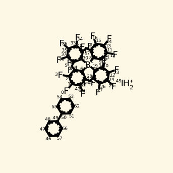 Fc1c(F)c(F)c([B-](c2c(F)c(F)c(F)c(F)c2F)(c2c(F)c(F)c(F)c(F)c2F)c2c(F)c(F)c(F)c(F)c2F)c(F)c1F.[IH2+].c1ccc(-c2ccccc2)cc1